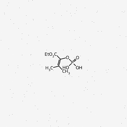 CCOC(=O)C(OP(=O)(O)O)=C(C)C